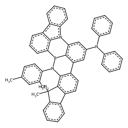 Cc1ccc(N2B3c4c(cc(N(c5ccccc5)c5ccccc5)cc4-n4c5ccccc5c5cccc3c54)-c3ccc4c(c32)C(C)(C)c2ccccc2-4)c(C)c1